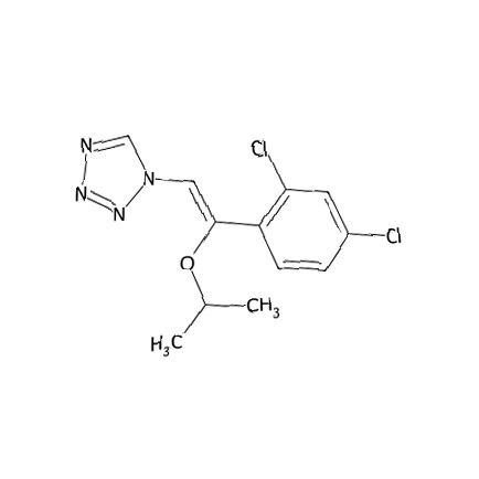 CC(C)OC(=Cn1cnnn1)c1ccc(Cl)cc1Cl